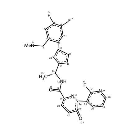 CNCc1cc(F)c(F)cc1-c1ccc([C@@H](C)NC(=O)c2ccc(=O)n(-c3cccnc3F)n2)s1